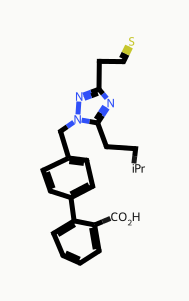 CC(C)CCc1nc(CC=S)nn1Cc1ccc(-c2ccccc2C(=O)O)cc1